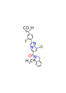 C[C@@H]1c2ccccc2CCN1C(=O)c1cc(C2CC2)c2nc(-c3ccc(/C=C/C(=O)O)cc3F)cn2c1